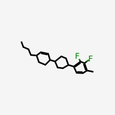 CCCCC1C=CC(C2CCC(c3ccc(C)c(F)c3F)CC2)CC1